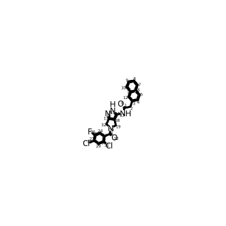 O=C(Cc1ccc2ccccc2c1)Nc1[nH]nc2c1CN(C(=O)c1cc(F)c(Cl)cc1Cl)C2